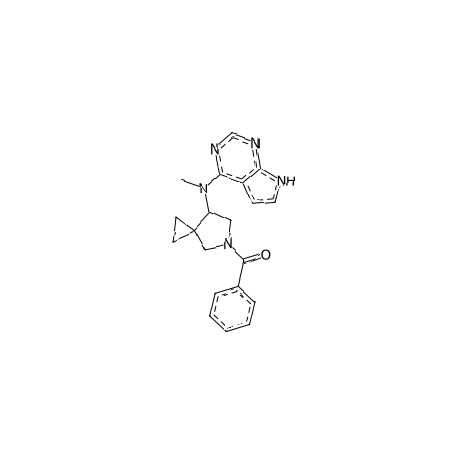 CN(c1ncnc2[nH]ccc12)C1CN(C(=O)c2ccccc2)CC12CC2